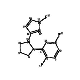 Fc1ccc(F)c([C@H]2CCCN2c2ccn(F)n2)c1